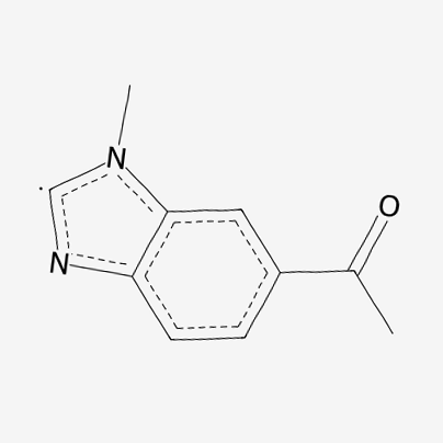 CC(=O)c1ccc2n[c]n(C)c2c1